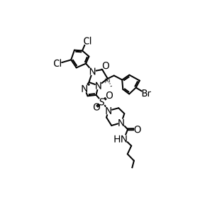 CCCCNC(=O)N1CCN(S(=O)(=O)c2cnc3n2[C@](C)(Cc2ccc(Br)cc2)C(=O)N3c2cc(Cl)cc(Cl)c2)CC1